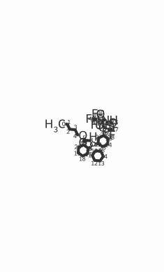 CCCCCOC(=O)C[PH](C1CCCCC1)(C1CCCCC1)C1CCCCC1.O=S(=O)(NS(=O)(=O)C(F)(F)F)C(F)(F)F